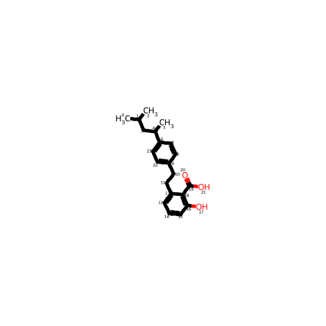 CC(C)CC(C)c1ccc(CCc2cccc(O)c2C(=O)O)cc1